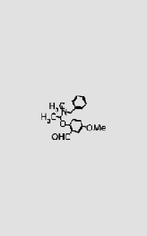 COc1ccc(OC(C)N(C)Cc2ccccc2)c(C=O)c1